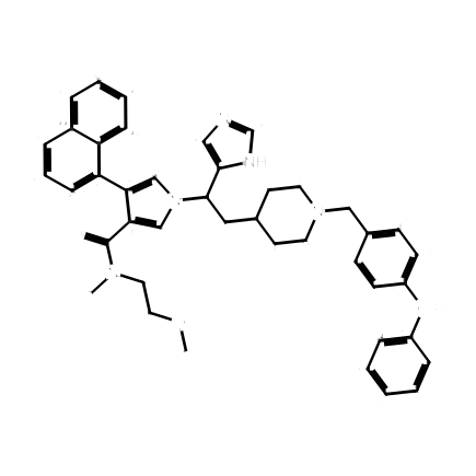 COCCN(C)C(=O)c1cn(C(CC2CCN(Cc3ccc(Oc4ccccc4)cc3)CC2)c2cnc[nH]2)cc1-c1cccc2ccccc12